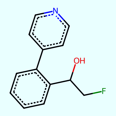 OC(CF)c1ccccc1-c1ccncc1